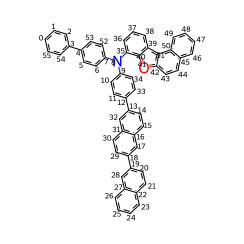 c1ccc(-c2ccc(N(c3ccc(-c4ccc5cc(-c6ccc7ccccc7c6)ccc5c4)cc3)c3cccc4c3oc3ccc5ccccc5c34)cc2)cc1